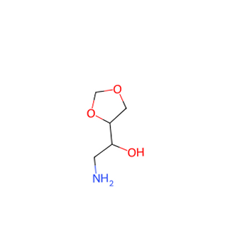 NCC(O)C1COCO1